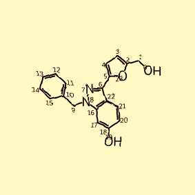 OCc1ccc(-c2nn(Cc3ccccc3)c3cc(O)ccc23)o1